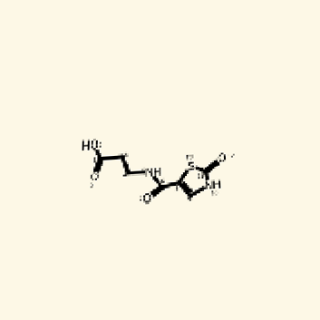 O=C(O)CCNC(=O)c1c[nH]c(=O)s1